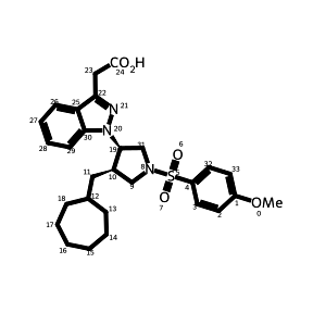 COc1ccc(S(=O)(=O)N2C[C@@H](CC3CCCCCC3)[C@@H](n3nc(CC(=O)O)c4ccccc43)C2)cc1